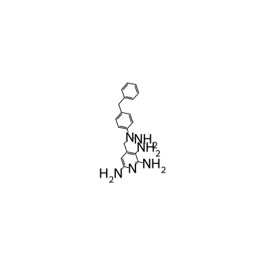 Nc1cc(CN(N)c2ccc(Cc3ccccc3)cc2)c(N)c(N)n1